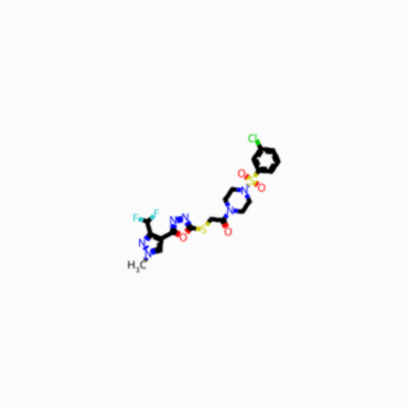 Cn1cc(-c2nnc(SCC(=O)N3CCN(S(=O)(=O)c4cccc(Cl)c4)CC3)o2)c(C(F)F)n1